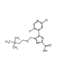 C[Si](C)(C)CCOCn1nc(C(=O)O)cc1-c1cc(Cl)ncc1F